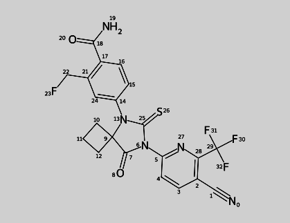 N#Cc1ccc(N2C(=O)C3(CCC3)N(c3ccc(C(N)=O)c(CF)c3)C2=S)nc1C(F)(F)F